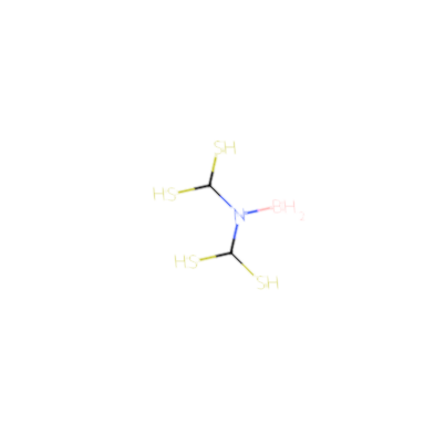 BN(C(S)S)C(S)S